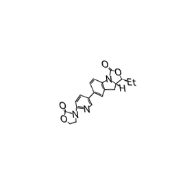 CC[C@@H]1OC(=O)N2c3ccc(-c4ccc(N5CCOC5=O)nc4)cc3C[C@@H]12